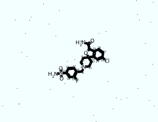 NC(=O)C1OC2(CCN(Cc3ccc(S(N)(=O)=O)cc3F)CC2)c2cc(Cl)ccc21